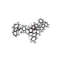 c1ccc(-c2ccccc2-c2c(-c3ccccc3)cccc2N(c2ccc(-c3ccc(-n4c5ccccc5c5ccccc54)cc3)cc2)c2ccc3c(c2)C2(c4ccccc4-c4ccccc42)c2ccccc2-3)cc1